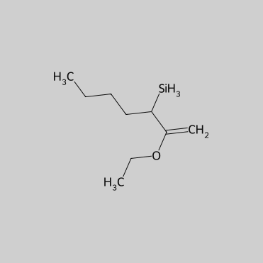 C=C(OCC)C([SiH3])CCCC